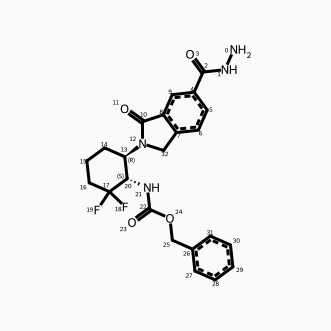 NNC(=O)c1ccc2c(c1)C(=O)N([C@@H]1CCCC(F)(F)[C@H]1NC(=O)OCc1ccccc1)C2